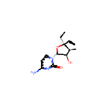 C=C[C@]1(CC)O[C@@H](n2ccc(N)nc2=O)[C@H](O)[C@@H]1C